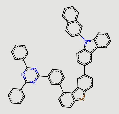 c1ccc(-c2nc(-c3ccccc3)nc(-c3cccc(-c4cccc5sc6ccc(-c7ccc8c(c7)c7ccccc7n8-c7ccc8ccccc8c7)cc6c45)c3)n2)cc1